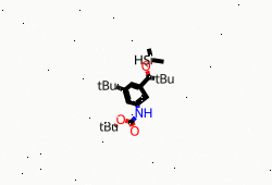 C[SiH](C)OC(c1cc(NC(=O)OC(C)(C)C)cc(C(C)(C)C)c1)C(C)(C)C